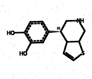 Oc1ccc([C@@H]2CNCC3SC=CC32)cc1O